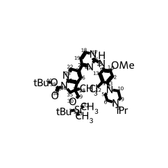 COc1cc(N2CCN(C(C)C)CC2)c(Cl)cc1Nc1nccc(-c2cnc3c(c2)C(C)(CO[Si](C)(C)C(C)(C)C)CN3C(=O)OC(C)(C)C)n1